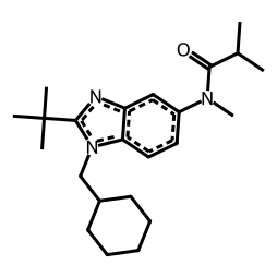 CC(C)C(=O)N(C)c1ccc2c(c1)nc(C(C)(C)C)n2CC1CCCCC1